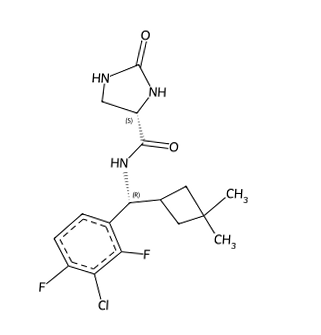 CC1(C)CC([C@@H](NC(=O)[C@@H]2CNC(=O)N2)c2ccc(F)c(Cl)c2F)C1